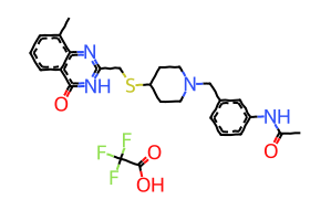 CC(=O)Nc1cccc(CN2CCC(SCc3nc4c(C)cccc4c(=O)[nH]3)CC2)c1.O=C(O)C(F)(F)F